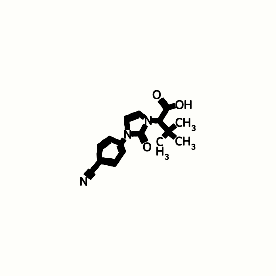 CC(C)(C)C(C(=O)O)n1ccn(-c2ccc(C#N)cc2)c1=O